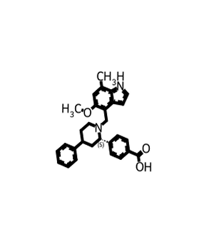 COc1cc(C)c2[nH]ccc2c1CN1CCC(c2ccccc2)C[C@H]1c1ccc(C(=O)O)cc1